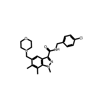 Cc1c(CN2CCOCC2)cc2c(C(=O)NCc3ccc(Cl)cc3)nn(C)c2c1C